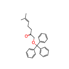 CC(C)=CCCC(=O)COC(c1ccccc1)(c1ccccc1)c1ccccc1